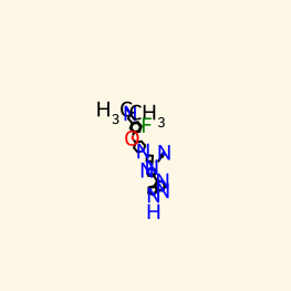 CN(C)Cc1cc(F)cc(OC2CCN([C@H]3C[C@@](CC#N)(n4cc(-c5ncnc6[nH]ccc56)cn4)C3)CC2)c1